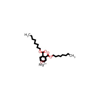 CCCCCCCCOC(=O)c1ccccc1C(=O)OCCCCCCCC.[Mg+2].[O-2]